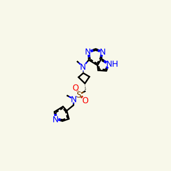 CN(Cc1ccncc1)S(=O)(=O)C[C@H]1C[C@@H](N(C)c2ncnc3[nH]ccc23)C1